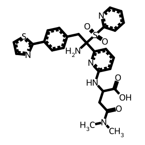 CN(C)C(=O)CC(Nc1cccc(C(N)(Cc2ccc(-c3nccs3)cc2)S(=O)(=O)c2ccccn2)n1)C(=O)O